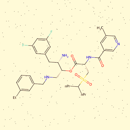 CCCC(CCC)S(=O)(=O)C[C@@H](NC(=O)c1cncc(C)c1)C(=O)O[C@H](CNCc1cccc(CC)c1)[C@@H](N)Cc1cc(F)cc(F)c1